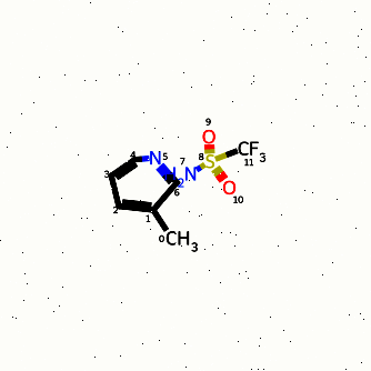 Cc1cccnc1.NS(=O)(=O)C(F)(F)F